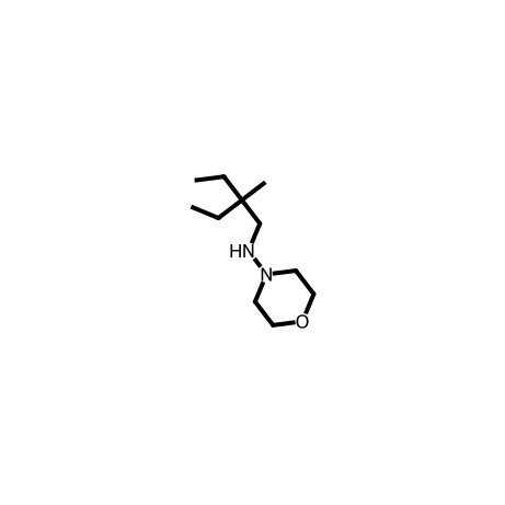 CCC(C)(CC)CNN1CCOCC1